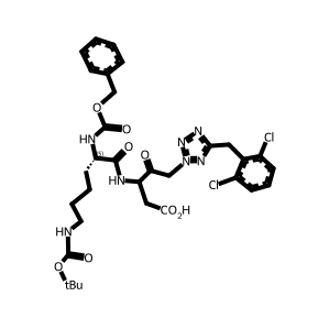 CC(C)(C)OC(=O)NCCCC[C@H](NC(=O)OCc1ccccc1)C(=O)NC(CC(=O)O)C(=O)Cn1nnc(Cc2c(Cl)cccc2Cl)n1